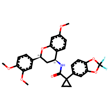 COc1ccc2c(c1)O[C@H](c1ccc(OC)c(OC)c1)C[C@@H]2NC(=O)C1(c2ccc3c(c2)OC(F)(F)O3)CC1